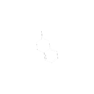 CB1CCc2ccccc2C1